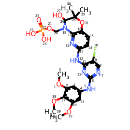 COc1cc(Nc2ncc(F)c(Nc3ccc4c(n3)N(COP(=O)(O)O)C(O)C(C)(C)O4)n2)cc(OC)c1OC